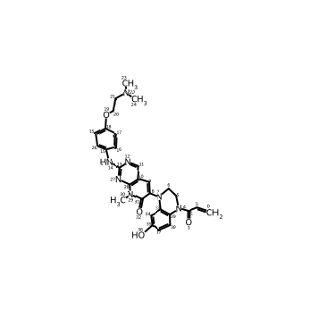 C=CC(=O)N1CCN(c2cc3cnc(Nc4ccc(OCCN(C)C)cc4)nc3n(C)c2=O)c2cc(O)ccc21